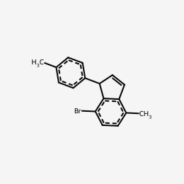 Cc1ccc(C2C=Cc3c(C)ccc(Br)c32)cc1